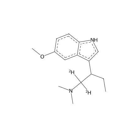 [2H]C([2H])(C(CC)c1c[nH]c2ccc(OC)cc12)N(C)C